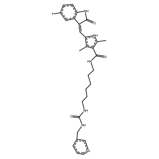 Cc1[nH]c(/C=C2\C(=O)Nc3ccc(F)cc32)c(C)c1C(=O)NCCCCCCNC(=O)NCc1cccnc1